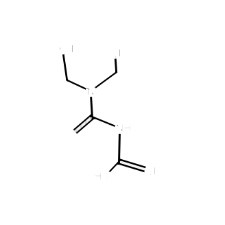 C=C(S)NC(=O)N(CC)CC